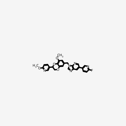 COc1ccc(C2COc3cc(Cn4cnc5cc(-c6ccc(F)nc6)cnc54)cc(OC)c3O2)cn1